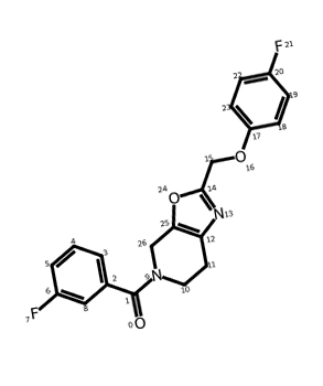 O=C(c1cccc(F)c1)N1CCc2nc(COc3ccc(F)cc3)oc2C1